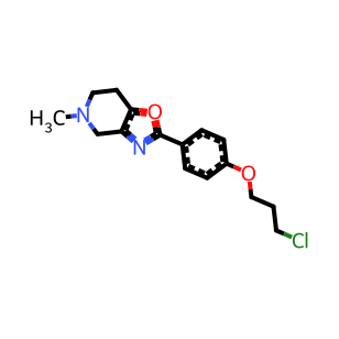 CN1CCc2oc(-c3ccc(OCCCCl)cc3)nc2C1